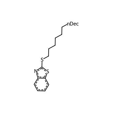 CCCCCCCCCCCCCCCCSc1nc2ccccc2s1